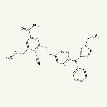 CCn1cc(N(c2ccccc2)c2ncc(CCc3cc(C(N)=O)cc(COC)c3C#N)cn2)cn1